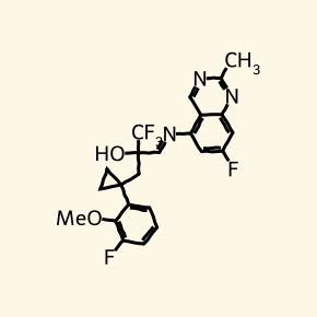 COc1c(F)cccc1C1(CC(O)(C=Nc2cc(F)cc3nc(C)ncc23)C(F)(F)F)CC1